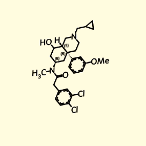 COc1cccc([C@@]23CCN(CC4CC4)C[C@H]2C(O)C[C@H](N(C)C(=O)Cc2ccc(Cl)c(Cl)c2)C3)c1